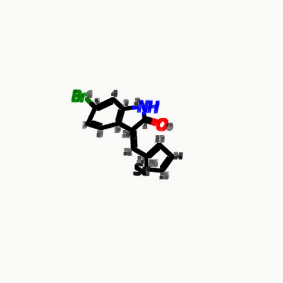 O=C1Nc2cc(Br)ccc2/C1=C/c1ccc[se]1